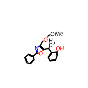 COCOCc1nc(-c2ccccc2)oc1C(C)c1ccccc1O